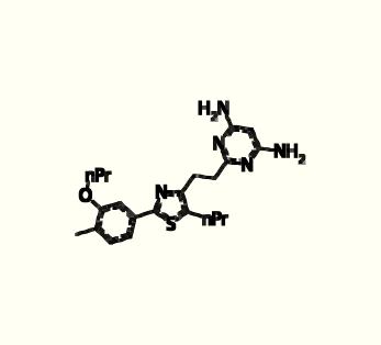 CCCOc1cc(-c2nc(CCc3nc(N)cc(N)n3)c(CCC)s2)ccc1C